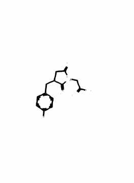 O=C(O)CN1C(=O)CC(Cc2ccc(Cl)cc2)C1=O